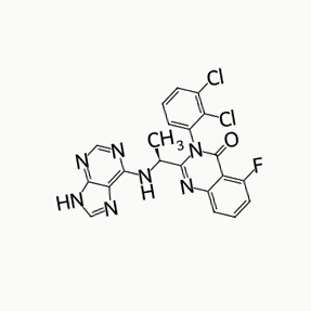 C[C@H](Nc1ncnc2[nH]cnc12)c1nc2cccc(F)c2c(=O)n1-c1cccc(Cl)c1Cl